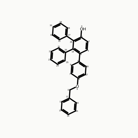 Oc1ccc(-c2ccc(OCc3ccccc3)cc2)c(-c2ccccc2)c1-c1ccccc1